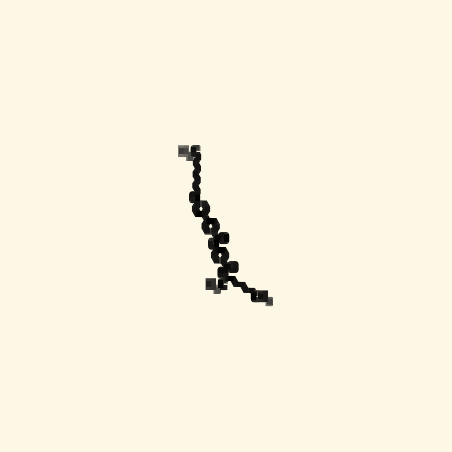 CCCCCCCCOc1ccc(-c2ccc(C(=O)Oc3ccc(C(=O)OC(C)CCCCCC)cc3)cc2)cc1